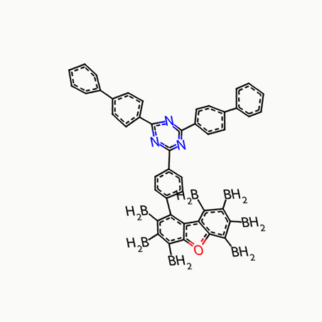 Bc1c(B)c(B)c2c(oc3c(B)c(B)c(B)c(-c4ccc(-c5nc(-c6ccc(-c7ccccc7)cc6)nc(-c6ccc(-c7ccccc7)cc6)n5)cc4)c32)c1B